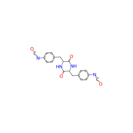 O=C=Nc1ccc(CC2NC(=O)C(Cc3ccc(N=C=O)cc3)NC2=O)cc1